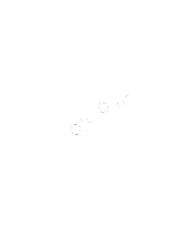 COc1ccc(C(F)(F)F)cc1C(=O)NCCc1ccc(CC2SC(=O)NC2=O)cc1